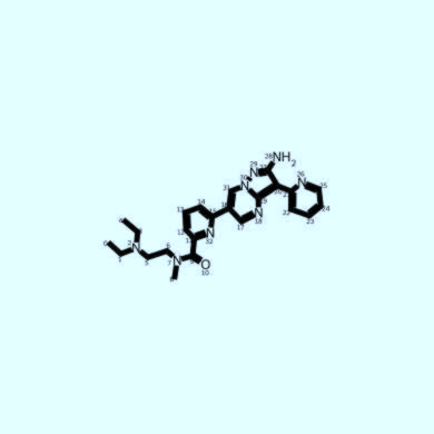 CCN(CC)CCN(C)C(=O)c1cccc(-c2cnc3c(-c4ccccn4)c(N)nn3c2)n1